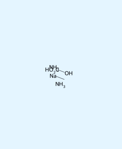 N.N.O=C(O)O.[CH3][Na]